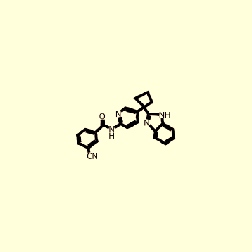 N#Cc1cccc(C(=O)Nc2ccc(C3(c4nc5ccccc5[nH]4)CCC3)cn2)c1